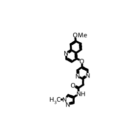 COc1ccc2c(Oc3cnc(CC(=O)Nc4cnn(C)c4)nc3)ccnc2c1